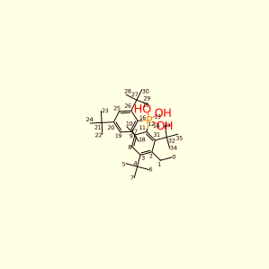 CCc1c(C(C)(C)C)cc(C)c(P(O)(O)(O)c2c(C)cc(C(C)(C)C)cc2C(C)(C)C)c1C(C)(C)C